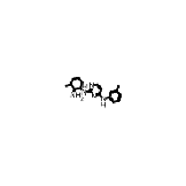 Cc1cccc(Nc2ccnc(NC3CCCC(C)C3N)n2)c1